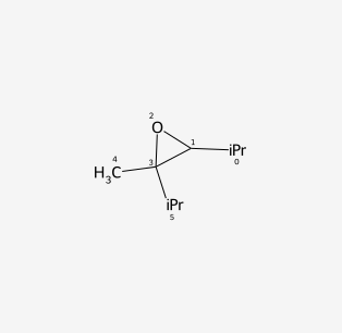 CC(C)C1OC1(C)C(C)C